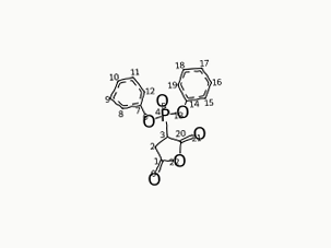 O=C1CC(P(=O)(Oc2ccccc2)Oc2ccccc2)C(=O)O1